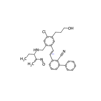 C=C(N=O)C(CC)NCc1cc(Cl)c(CCCO)cc1/C=C/c1cccc(-c2ccccc2)c1C#N